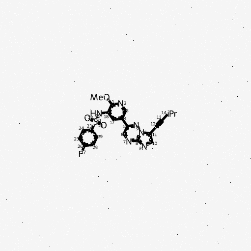 COc1ncc(-c2cnc3ncc(C#CC(C)C)n3n2)cc1NS(=O)(=O)c1ccc(F)cc1